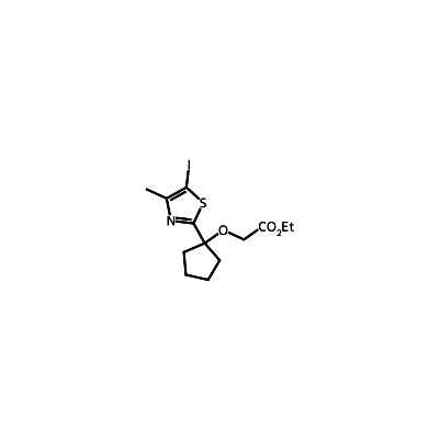 CCOC(=O)COC1(c2nc(C)c(I)s2)CCCC1